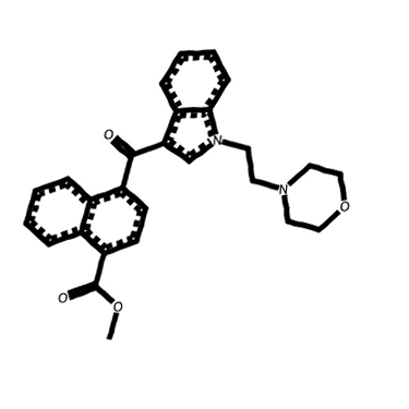 COC(=O)c1ccc(C(=O)c2cn(CCN3CCOCC3)c3ccccc23)c2ccccc12